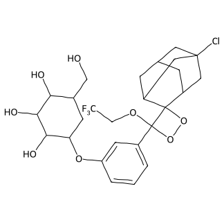 OCC1CC(Oc2cccc(C3(OCC(F)(F)F)OOC34C3CC5CC4CC(Cl)(C5)C3)c2)C(O)C(O)C1O